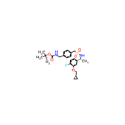 C[C@@H](NS(=O)(=O)Cc1ccc(CNC(=O)OC(C)(C)C)cc1)c1ccc(F)c(OCC2CC2)c1